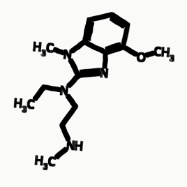 CCN(CCNC)c1nc2c(OC)cccc2n1C